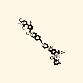 Cc1cccc(C(=O)Nc2cc3cn(C4CCN(CCC5CCC6(CC5)CCN(C(=O)c5ccc(F)c(C7CCC(=O)NC7=O)c5)CC6)CC4)nc3cc2C(C)(C)O)n1